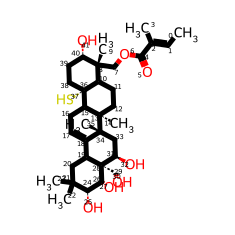 C/C=C(\C)C(=O)OC[C@]1(C)C2CC[C@]3(C)C(CC=C4C5CC(C)(C)[C@@H](O)[C@H](O)[C@]5(CO)[C@H](O)C[C@]43C)[C@@]2(S)CC[C@@H]1O